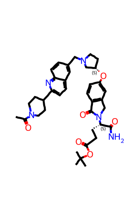 CC(=O)N1CCC(c2ccc3cc(CN4CC[C@H](Oc5ccc6c(c5)CN([C@@H](CCC(=O)OC(C)(C)C)C(N)=O)C6=O)C4)ccc3n2)CC1